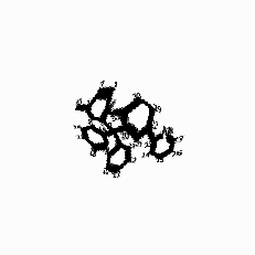 Cc1ccc2c(c1)C(c1ccccc1)(c1ccccc1)c1cc(-c3ccccn3)ccc1-2